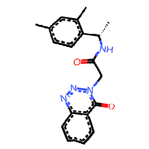 Cc1ccc([C@H](C)NC(=O)Cn2nnc3ccccc3c2=O)c(C)c1